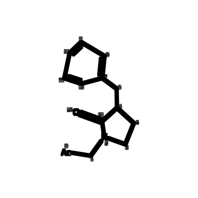 CC(=O)CN1CCC(Cc2ccccc2)C1=O